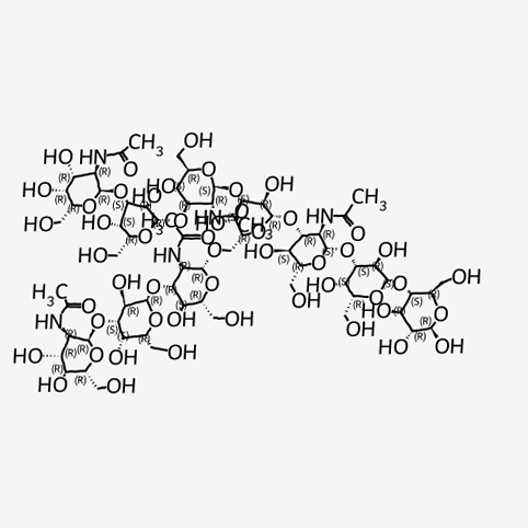 CC(=O)N[C@H]1[C@@H](O[C@H]2[C@@H](O)[C@@H](CO)O[C@@H](O[C@H]3[C@H](O)[C@@H](CO)O[C@@H](OC[C@H]4O[C@@H](O[C@H]5[C@H](O)[C@@H](CO)O[C@@H](O[C@H]6[C@@H](O)[C@@H](CO)O[C@@H](O[C@H]7[C@H](O)[C@@H](O)[C@H](O)O[C@@H]7CO)[C@@H]6O)[C@@H]5NC(C)=O)[C@H](O)[C@@H](O[C@@H]5O[C@H](CO)[C@@H](O)[C@H](O[C@@H]6O[C@H](CO)[C@H](O)[C@H](O[C@H]7O[C@H](CO)[C@H](O)[C@H](O)[C@H]7NC(C)=O)[C@H]6O)[C@H]5NC(C)=O)[C@H]4O)[C@@H]3NC(C)=O)[C@@H]2O)O[C@H](CO)[C@H](O)[C@@H]1O